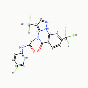 O=C(Cn1c(=O)c2ccc(C(F)(F)F)nc2n2ncc(C(F)(F)F)c12)Nc1ccc(F)cn1